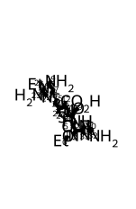 CCO/N=C(\C(=O)N[C@@H]1C(=O)N2C(C(=O)O)=C(CSC3=CC(N)N(CC)C(N)=N3)CS[C@H]12)c1nsc(N)n1